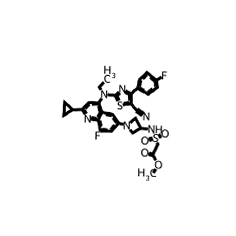 CCN(c1nc(-c2ccc(F)cc2)c(C#N)s1)c1cc(C2CC2)nc2c(F)cc(N3CC(NS(=O)(=O)CC(=O)OC)C3)cc12